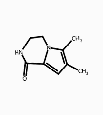 Cc1cc2n(c1C)CCNC2=O